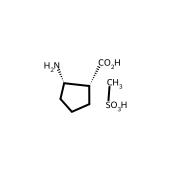 CS(=O)(=O)O.N[C@H]1CCC[C@H]1C(=O)O